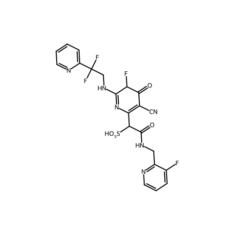 N#CC1=C(C(C(=O)NCc2ncccc2F)S(=O)(=O)O)N=C(NCC(F)(F)c2ccccn2)C(F)C1=O